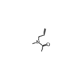 C=CCN(C)C(C)=O